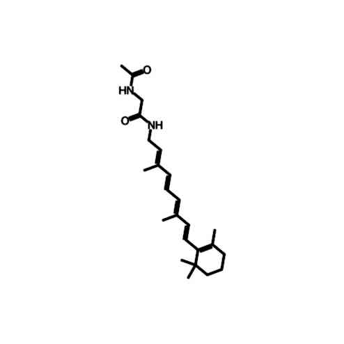 CC(=O)NCC(=O)NC/C=C(C)/C=C/C=C(C)/C=C/C1=C(C)CCCC1(C)C